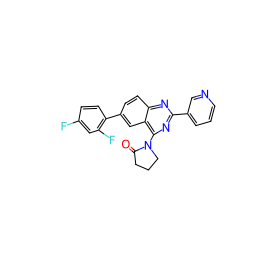 O=C1CCCN1c1nc(-c2cccnc2)nc2ccc(-c3ccc(F)cc3F)cc12